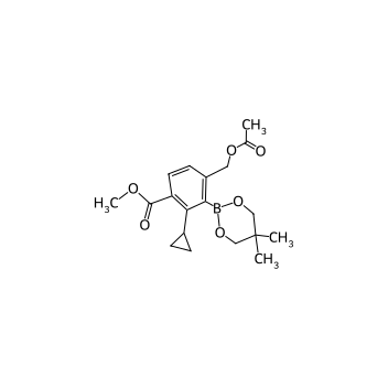 COC(=O)c1ccc(COC(C)=O)c(B2OCC(C)(C)CO2)c1C1CC1